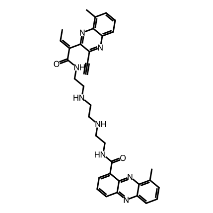 C#Cc1nc2cccc(C)c2nc1/C(=C\C)C(=O)NCCNCCNCCNC(=O)c1cccc2nc3cccc(C)c3nc12